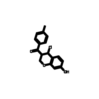 Cc1ccc(C(=O)C2COc3cc(O)ccc3C2Cl)cc1